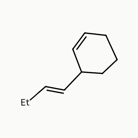 CCC=CC1C=CCCC1